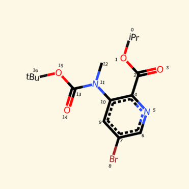 CC(C)OC(=O)c1ncc(Br)cc1N(C)C(=O)OC(C)(C)C